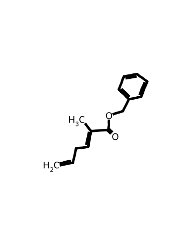 C=CC/C=C(\C)C(=O)OCc1ccccc1